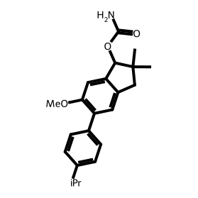 COc1cc2c(cc1-c1ccc(C(C)C)cc1)CC(C)(C)C2OC(N)=O